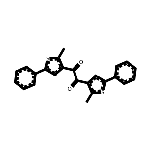 Cc1sc(-c2ccccc2)cc1C(=O)C(=O)c1cc(-c2ccccc2)sc1C